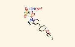 C[C@@](CCn1ccc2cc(-c3ccc(OC(F)(F)F)cc3)ccc21)(C(=O)NO)S(C)(=O)=O